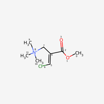 COC(=O)C(=CCl)C[N+](C)(C)C